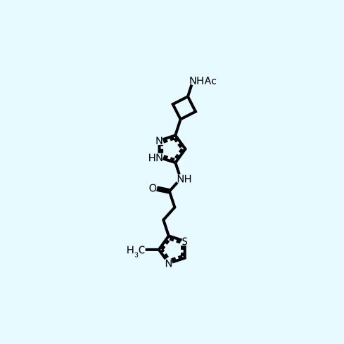 CC(=O)NC1CC(c2cc(NC(=O)CCc3scnc3C)[nH]n2)C1